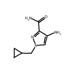 NC(=O)c1nn(CC2CC2)cc1N